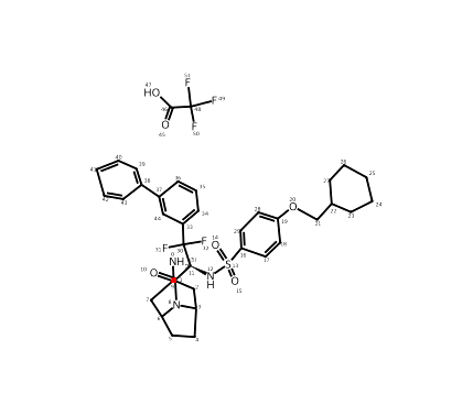 NC1CC2CCC(C1)N2C(=O)[C@H](NS(=O)(=O)c1ccc(OCC2CCCCC2)cc1)C(F)(F)c1cccc(-c2ccccc2)c1.O=C(O)C(F)(F)F